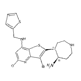 N[C@@H]1CCNCC[C@@H]1c1sc2c(NCc3cccs3)cc(Cl)nc2c1Br